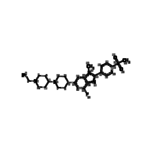 CC(C)CN1CCC(N2CCC(c3cc(F)c4nc(-c5ccc(S(C)(=O)=O)cc5)n(C)c4c3)CC2)CC1